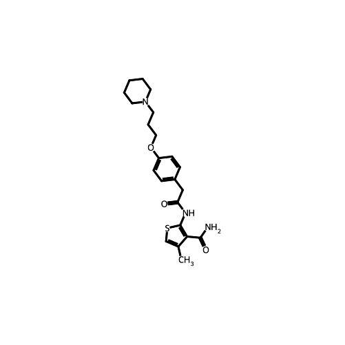 Cc1csc(NC(=O)Cc2ccc(OCCCN3CCCCC3)cc2)c1C(N)=O